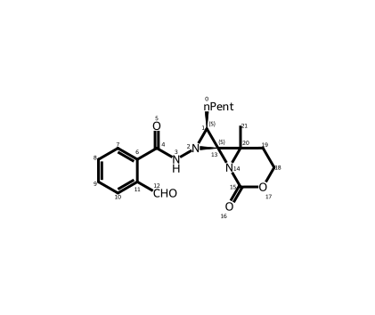 CCCCC[C@@H]1N(NC(=O)c2ccccc2C=O)[C@@]12N1C(=O)OCCC12C